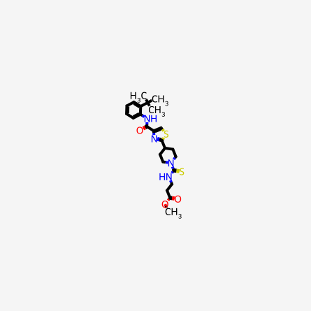 COC(=O)CCNC(=S)N1CCC(c2nc(C(=O)Nc3ccccc3C(C)(C)C)cs2)CC1